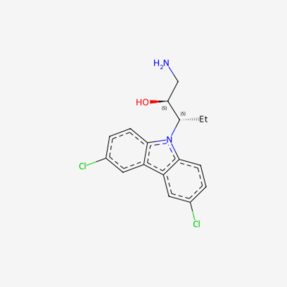 CC[C@@H]([C@@H](O)CN)n1c2ccc(Cl)cc2c2cc(Cl)ccc21